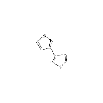 [c]1sccc1-c1ccsn1